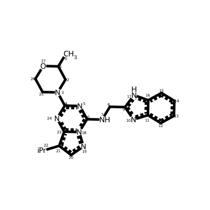 CC1CN(c2nc(NCc3nc4ccccc4[nH]3)n3ncc(C(C)C)c3n2)CCO1